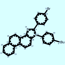 CC(C)(C)c1ccc(-n2c(-c3ccc(Br)cc3)nc3c4ccc5ccccc5c4ccc32)cc1